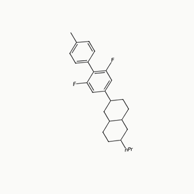 CCCC1CCC2CC(c3cc(F)c(-c4ccc(C)cc4)c(F)c3)CCC2C1